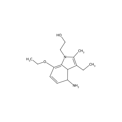 CCOC1=C2C(C(CC)=C(C)N2CCO)C(N)C=C1